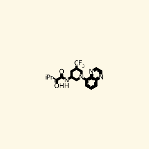 CC(C)[C@H](O)C(=O)NC1CC(C(F)(F)F)CN(c2cccc3nccnc23)C1